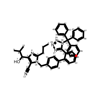 CCCc1nc(C(O)C(C)C)c(C#N)n1Cc1ccc(-c2ccccc2-c2nnnn2C(c2ccccc2)(c2ccccc2)c2ccccc2)cc1